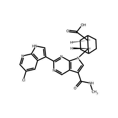 CNC(=O)c1cn([C@H]2C3CCC(CC3)[C@@H]2C(=O)O)c2nc(-c3c[nH]c4ncc(Cl)cc34)ncc12